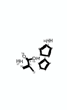 C1=CCC=C1.C1=CCC=C1.C=C(C)C(=O)O.[HH].[HH]